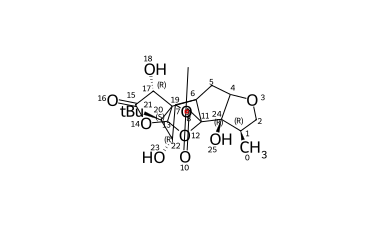 C[C@@H]1COC2CC34C5OC(=O)C3(OC3OC(=O)[C@H](O)C34[C@H](C(C)(C)C)[C@H]5O)[C@]21O